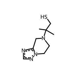 CC(C)(CS)N1CCn2ncnc2C1